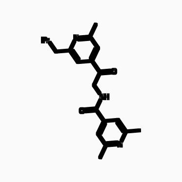 Cc1cc(C(=O)NCC(=O)c2cc(C)nc(CC(C)C)c2)cc(C)n1